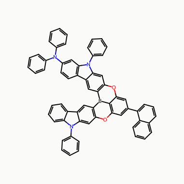 c1ccc(N(c2ccccc2)c2ccc3c4cc5c(cc4n(-c4ccccc4)c3c2)Oc2cc(-c3cccc4ccccc34)cc3c2B5c2cc4c5ccccc5n(-c5ccccc5)c4cc2O3)cc1